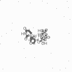 O=c1ccn(C2O[C@@]3(COP(=O)(O)OP(=O)(O)OP(=O)(O)O)COC2C3O)c(=O)[nH]1